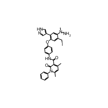 Cc1cc(C)n(-c2ccccc2)c(=O)c1C(=O)Nc1ccc(Oc2cc(CI)c(N(C)N)cc2-c2cn[nH]c2)cc1